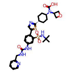 CC(C)(C)NS(=O)(=O)c1cc(NC(=O)NCc2ccccn2)ccc1-c1cnc([C@H]2CC[C@H](N(C(=O)O)C3COC3)CC2)s1